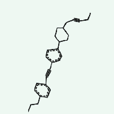 CCC#CCC1CCC(c2ccc(C#Cc3ccc(CCC)cc3)cc2)CC1